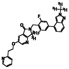 [2H]C1([2H])c2ncc(OCCc3ccccn3)cc2C(=O)N1Cc1c(F)cc(-c2cccc3nn(C([2H])([2H])[2H])cc23)cc1F